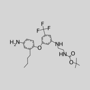 CCCCc1cc(N)ccc1Oc1cc(NCCNC(=O)OC(C)(C)C)cc(C(F)(F)F)c1